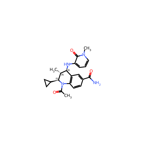 CC(=O)N1c2ccc(C(N)=O)cc2[C@H](Nc2cccn(C)c2=O)[C@@H](C)[C@@H]1C1CC1